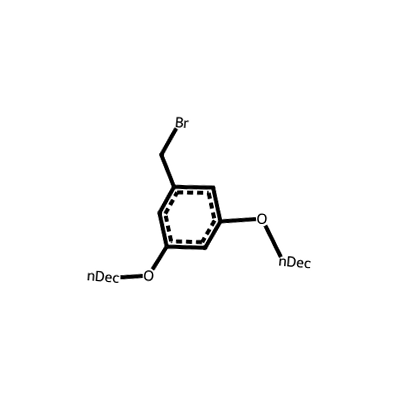 CCCCCCCCCCOc1cc(CBr)cc(OCCCCCCCCCC)c1